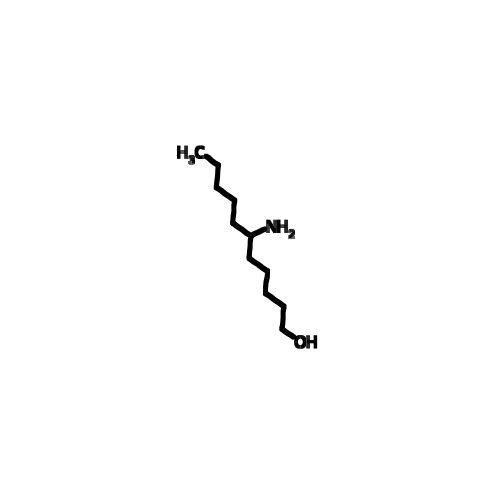 CCCCCC(N)CCCCCO